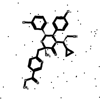 COC(=O)c1ccc(C[C@@]2(C)O[C@H](c3cccc(Cl)c3)[C@@H](c3ccc(Cl)cc3)N([C@H](CO)C3CC3)C2=O)nc1